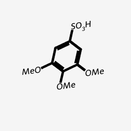 COc1cc(S(=O)(=O)O)cc(OC)c1OC